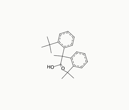 CC(C)(C)c1ccccc1C(C)(C(=O)O)c1ccccc1C(C)(C)C